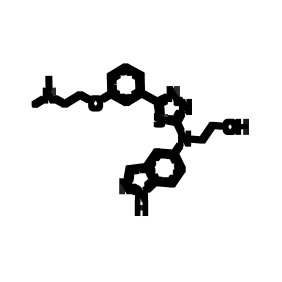 CN(C)CCOc1cccc(-c2nnc(N(CCO)c3ccc4[nH]ncc4c3)s2)c1